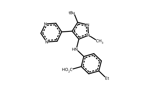 CCc1ccc(Nc2c(-c3cncnc3)c(C(C)(C)C)nn2C)c(C(=O)O)c1